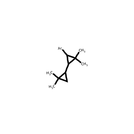 CC(=O)C1C(C2CC2(C)C)C1(C)C